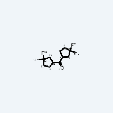 O=C(C1CCC(F)(F)C1)C1CCC(F)(F)C1